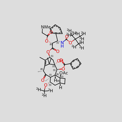 [2H]C([2H])([2H])O[C@H]1C[C@H]2CC[C@@]2(OC(C)=O)[C@H]2[C@H](OC(=O)c3ccccc3)[C@]3(O)C[C@H](OC(=O)[C@H](OC(=O)CNC)[C@@H](NC(=O)OC(C([2H])([2H])[2H])(C([2H])([2H])[2H])C([2H])([2H])[2H])c4ccccc4)C(C)=C([C@@H](C)C(=O)[C@]12C)C3(C)C